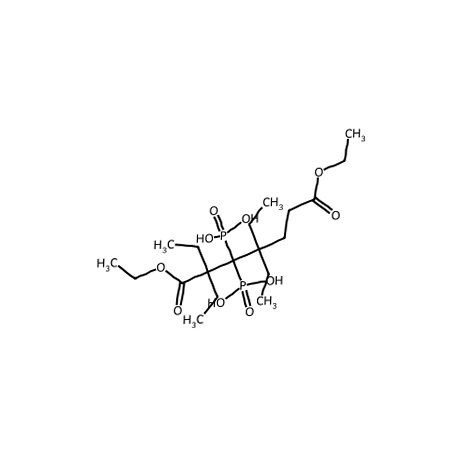 CCOC(=O)CCC(CC)(CC)C(C(CC)(CC)C(=O)OCC)(P(=O)(O)O)P(=O)(O)O